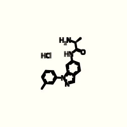 Cc1cccc(-n2ncc3ccc(NC(=O)[C@H](C)N)cc32)c1.Cl